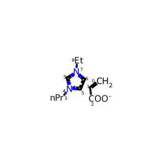 C=CC(=O)[O-].CCC[n+]1ccn(CC)c1